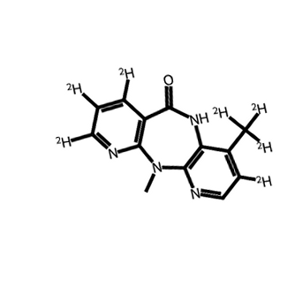 [2H]c1cnc2c(c1C([2H])([2H])[2H])NC(=O)c1c(nc([2H])c([2H])c1[2H])N2C